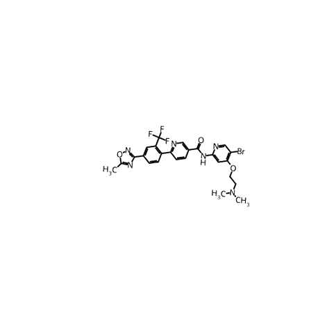 Cc1nc(-c2ccc(-c3ccc(C(=O)Nc4cc(OCCN(C)C)c(Br)cn4)cn3)c(C(F)(F)F)c2)no1